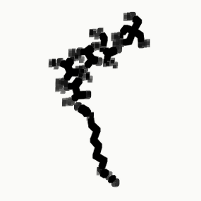 C=C(C)C(=O)O.C=C(C)C(=O)O.C=C(C)C(=O)O.CCOC(N)=O.O=C=NCCCCCCN=C=O.OCC(CO)(CO)CO